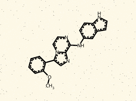 COc1ccccc1-c1cnc2c(Nc3ccc4[nH]ccc4c3)nccn12